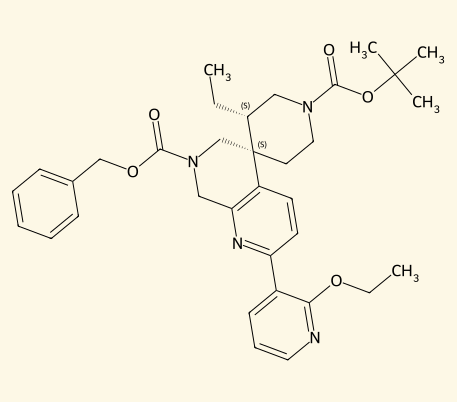 CCOc1ncccc1-c1ccc2c(n1)CN(C(=O)OCc1ccccc1)C[C@]21CCN(C(=O)OC(C)(C)C)C[C@H]1CC